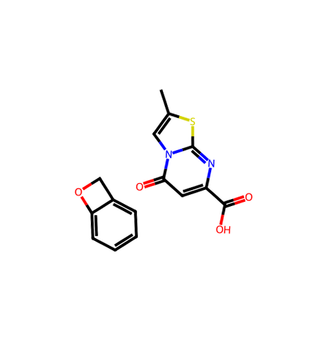 Cc1cn2c(=O)cc(C(=O)O)nc2s1.c1ccc2c(c1)CO2